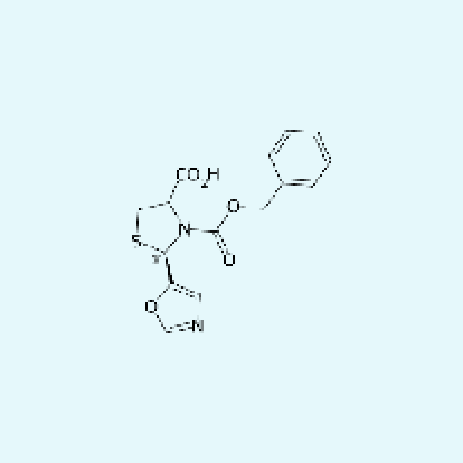 O=C(O)C1CS[C@H](c2cnco2)N1C(=O)OCc1ccccc1